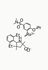 CCc1cccc(CC)c1C1NC(C)(C)CC1(C)C.[CH2]=[Ru+2][c]1cc(S(=O)(=O)N(C)C)ccc1OC(C)C.[Cl-].[Cl-]